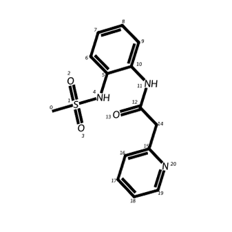 CS(=O)(=O)Nc1ccccc1NC(=O)Cc1ccccn1